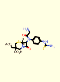 CC(=O)OCC1(C(=O)O)CS[C@@H]2C(N(C(=O)CN)c3ccc(NC(N)=S)cc3)C(=O)N2C1